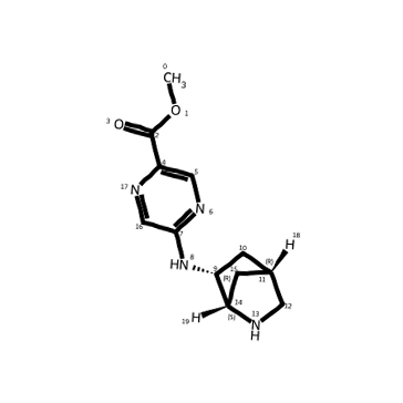 COC(=O)c1cnc(N[C@@H]2C[C@@H]3CN[C@H]2C3)cn1